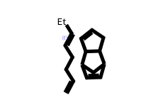 C1=CC2C3C=CC(C3)C2C1.C=CCC/C=C/CC